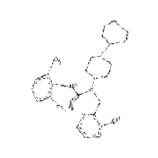 Cc1cccc(C)c1NC(=O)N(Cc1ncccc1O)C1CCC(C2CCCCC2)CC1